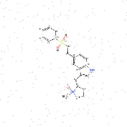 C[N+]1([O-])CCCC1Cc1c[nH]c2ccc(CCS(=O)(=O)c3ccccc3)cc12